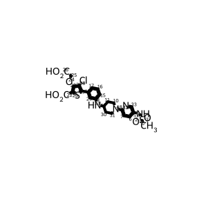 CS(=O)(=O)Nc1ccc(N2CCC(Nc3cccc(-c4sc(C(=O)O)c(OCC(=O)O)c4Cl)c3)CC2)nc1